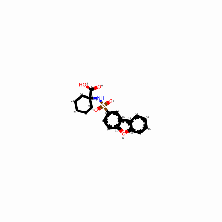 O=C(O)C1(NS(=O)(=O)c2ccc3oc4ccccc4c3c2)CCCCC1